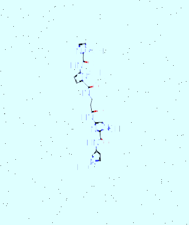 Cn1ccc(NC(=O)c2nc(NC(=O)CCNC(=O)c3ccc(NC(=O)c4nccn4C)n3C)cn2C)c1